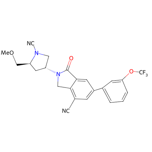 COC[C@@H]1C[C@@H](N2Cc3c(C#N)cc(-c4cccc(OC(F)(F)F)c4)cc3C2=O)CN1C#N